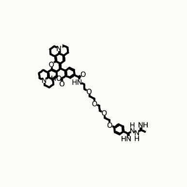 CC(=N)NNC(=N)c1ccc(OCCOCCOCCOCCNC(=O)c2ccc(C3=c4cc5c6c(c4Oc4c3cc3c7c4CCCN7CCC3)CCC[N+]=6CCC5)c(C(=O)O)c2)cc1